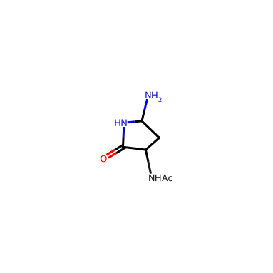 CC(=O)NC1CC(N)NC1=O